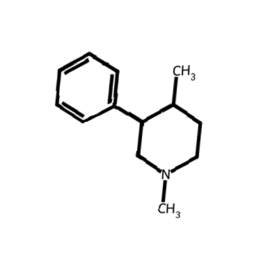 CC1CCN(C)CC1c1ccccc1